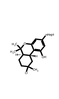 CCCCCCCc1cc(O)c2c(c1)OC(C)(C)[C@@H]1CCC(C)(Cl)C[C@@H]21